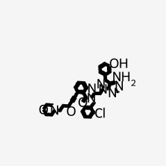 Nc1ncnc2c1c(-c1cccc(O)c1)nn2Cc1nc2cccc(C#CC(=O)CCN3CCOCC3)c2c(=O)n1Cc1ccccc1Cl